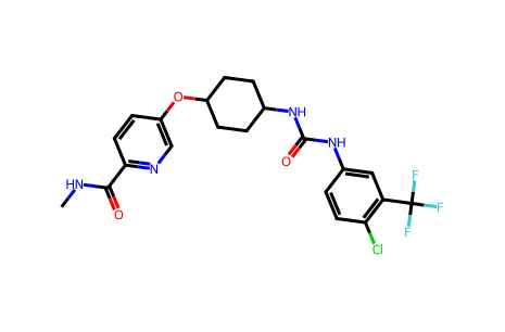 CNC(=O)c1ccc(OC2CCC(NC(=O)Nc3ccc(Cl)c(C(F)(F)F)c3)CC2)cn1